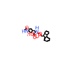 CC(=O)Nc1ccc(CC(NC(=O)OCC2c3ccccc3-c3ccccc32)C(=O)O)cc1